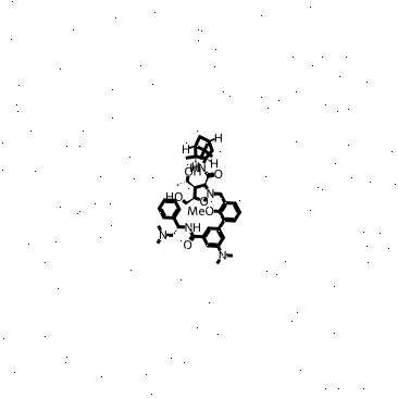 COc1c(CN2O[C@@H](CO)[C@@H]([C@H](C)O)[C@H]2C(=O)N[C@@H]2C[C@H]3C[C@@H]([C@@H]2C)C3(C)C)cccc1-c1cc(C(=O)N[C@H](CN(C)C)c2ccccc2)cc(N(C)C)c1